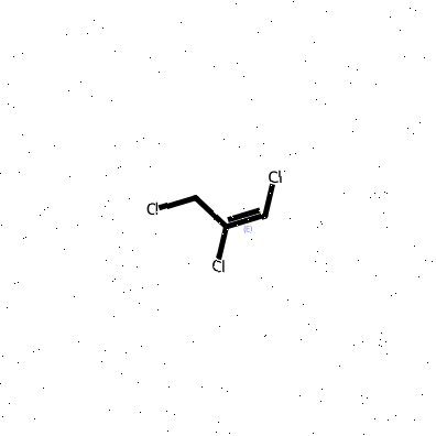 Cl/C=C(/Cl)CCl